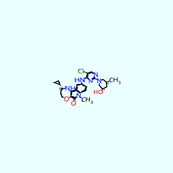 C[C@H]1C[C@@H](O)CN(c2ncc(Cl)c(Nc3ccc4c(c3)c3c(c(=O)n4C)OCC[C@H](C4CC4)N3)n2)C1